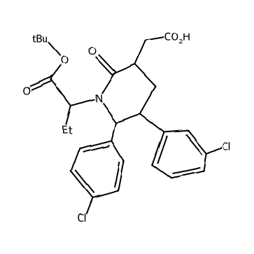 CCC(C(=O)OC(C)(C)C)N1C(=O)C(CC(=O)O)CC(c2cccc(Cl)c2)C1c1ccc(Cl)cc1